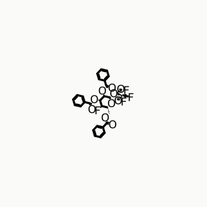 O=C(OC[C@H]1O[C@H](OS(=O)(=O)C(F)(F)F)[C@H](OC(=O)c2ccccc2)[C@@H](OC(=O)c2ccccc2)[C@@H]1F)c1ccccc1